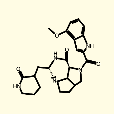 COc1cccc2[nH]c(C(=O)N3CC4CCCC4[C@H]3C(=O)N[C@H](C#N)CC3CCCNC3=O)cc12